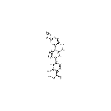 CCc1ccc2c(c1)C(O)C(CC(C)c1ccc3c(c1)CCCC3=O)CC2